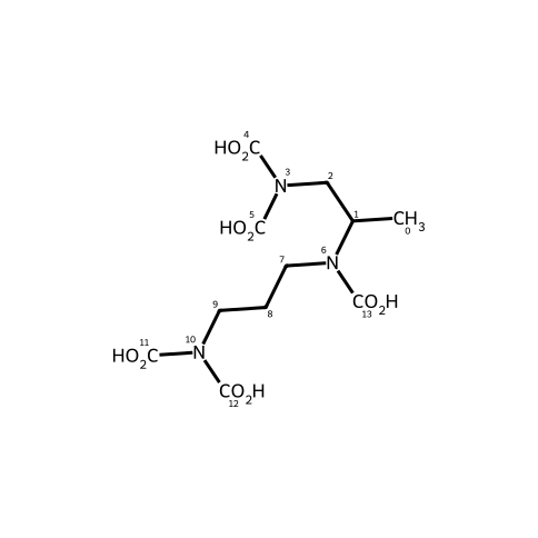 CC(CN(C(=O)O)C(=O)O)N(CCCN(C(=O)O)C(=O)O)C(=O)O